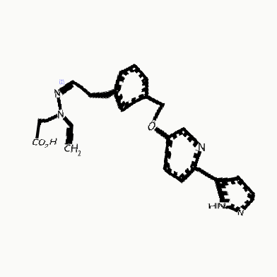 C=CN(CC(=O)O)/N=C\Cc1cccc(COc2ccc(-c3ccn[nH]3)nc2)c1